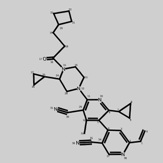 C=Cc1cc(-c2c(C3CC3)nc(N3CCN(C(=O)CCC4CCC4)C(C4CC4)C3)c(C#N)c2C)c(C#N)cn1